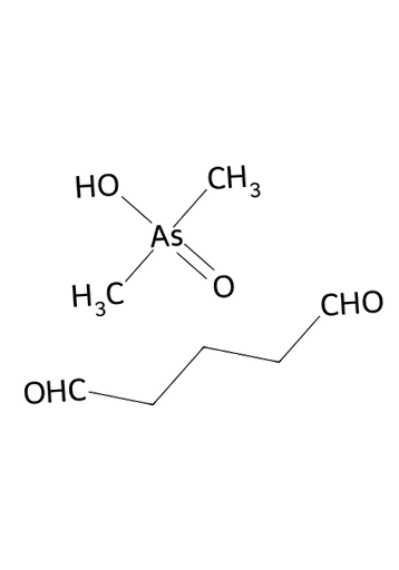 C[As](C)(=O)O.O=CCCCC=O